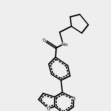 O=C(NCC1CCCC1)c1ccc(-c2nccc3occc23)cc1